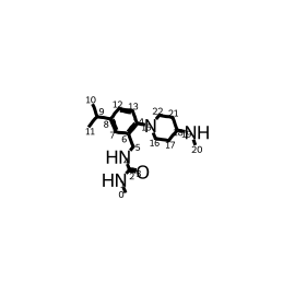 CNC(=O)NCc1cc(C(C)C)ccc1N1CCC(NC)CC1